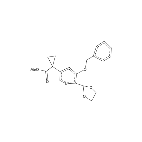 COC(=O)C1(c2cnc(C3OCCO3)c(OCc3ccccc3)c2)CC1